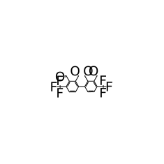 O=Cc1c(-c2ccc(C(F)(F)F)c(C=O)c2C=O)ccc(C(F)(F)F)c1C=O